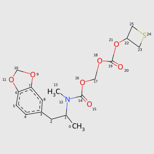 CC(Cc1ccc2c(c1)OCO2)N(C)C(=O)OCOC(=O)OC1CSC1